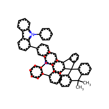 CC1(C)c2ccccc2C2(c3ccccc3-c3cc(N(c4cccc(-c5cccc6c7ccccc7n(-c7ccccc7)c56)c4)c4ccccc4-c4ccccc4-c4ccccc4-c4ccccc4)ccc32)c2ccccc21